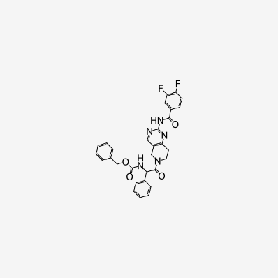 O=C(NC(C(=O)N1CCc2nc(NC(=O)c3ccc(F)c(F)c3)ncc2C1)c1ccccc1)OCc1ccccc1